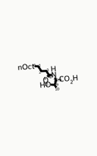 CCCCCCCCCCCC(=O)N[C@H](C(=O)O)C(C)O